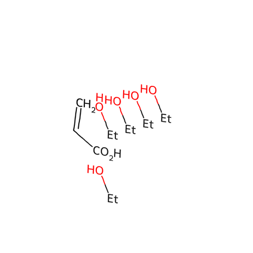 C=CC(=O)O.CCO.CCO.CCO.CCO.CCO